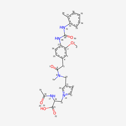 COc1cc(CC(=O)N(C)Cc2ccn(CC(NC(C)=O)C(=O)O)c2)ccc1NC(=O)Nc1ccccc1C